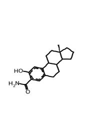 C[C@@]12CCCC1C1CCc3cc(C(N)=O)c(O)cc3C1CC2